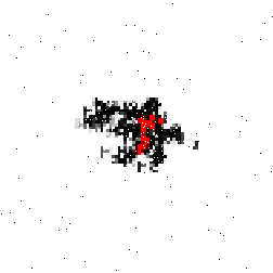 CC(C)C[C@H](NC(=O)[C@H](CC(C)C)NC(=O)CNC(=O)[C@H](CCC(N)=O)NC(=O)[C@H](Cc1ccccc1)NC(=O)[C@@H](NC(=O)[C@H](Cc1cnc[nH]1)NC(=O)[C@H](CCC(=O)O)NC(=O)[C@H](CC(C)C)NC(=O)[C@H](CCC(N)=O)NC(=O)[C@H](Cc1ccc(O)cc1)NC(=O)[C@H](C)NC(=O)CNC(=O)[C@@H](N)C(C)C)[C@@H](C)O)C(N)=O